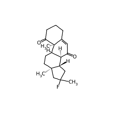 CC1(F)C[C@H]2[C@@H]3C(=O)C=C4CCCC(=O)[C@]4(C)[C@@H]3CC[C@]2(C)C1